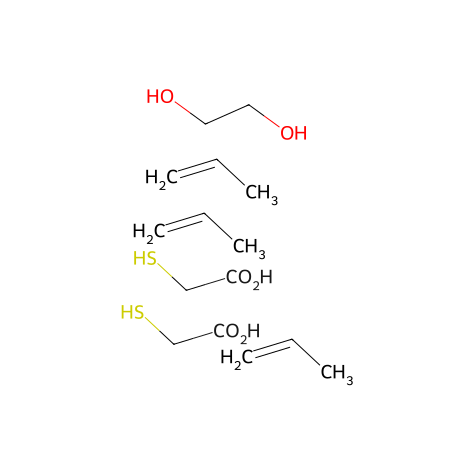 C=CC.C=CC.C=CC.O=C(O)CS.O=C(O)CS.OCCO